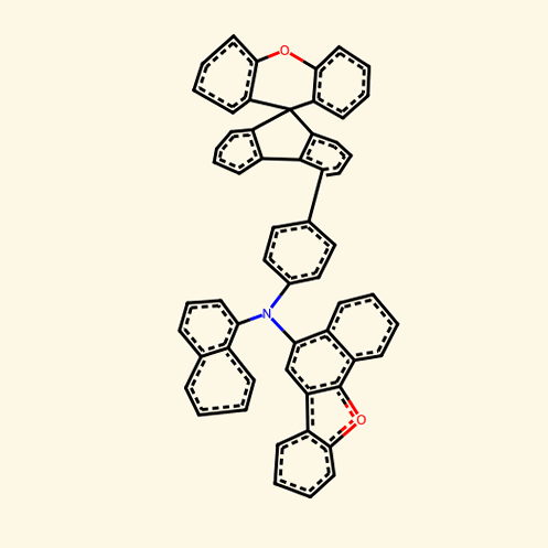 c1ccc2c(c1)Oc1ccccc1C21c2ccccc2-c2c(-c3ccc(N(c4cccc5ccccc45)c4cc5c6ccccc6oc5c5ccccc45)cc3)cccc21